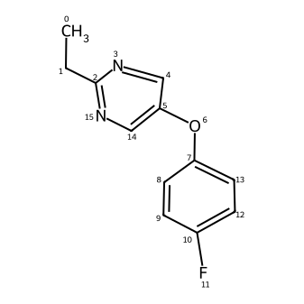 CCc1ncc(Oc2ccc(F)cc2)cn1